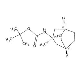 CC(C)(C)OC(=O)N[C@]1(C)C[C@H]2CC[C@H](C1)NC2